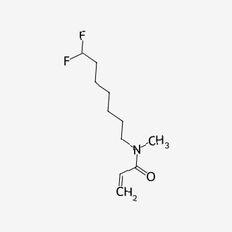 C=CC(=O)N(C)CCCCCCC(F)F